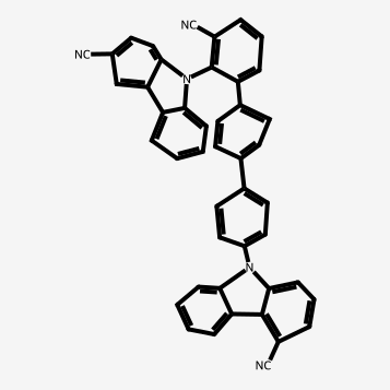 N#Cc1ccc2c(c1)c1ccccc1n2-c1c(C#N)cccc1-c1ccc(-c2ccc(-n3c4ccccc4c4c(C#N)cccc43)cc2)cc1